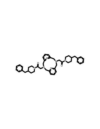 O=C(CN1Cc2cccc(n2)CN(CC(=O)N2CCC(Cc3ccccc3)CC2)Cc2cccc(n2)C1)N1CCC(Cc2ccccc2)CC1